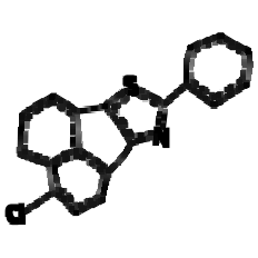 Clc1ccc2c3c(cccc13)-c1sc(-c3ccccc3)nc1-2